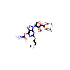 CCCSc1nc(OC(N)=O)c2nnn([C@H]3CO[C@@H](C(OC)OC)[C@@H]3O)c2n1